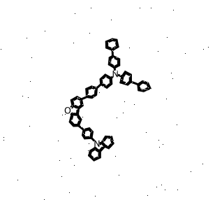 c1ccc(-c2ccc(N(c3ccc(-c4ccccc4)cc3)c3ccc(-c4ccc(-c5ccc6oc7ccc(-c8ccc(-n9c%10ccccc%10c%10ccccc%109)cc8)cc7c6c5)cc4)cc3)cc2)cc1